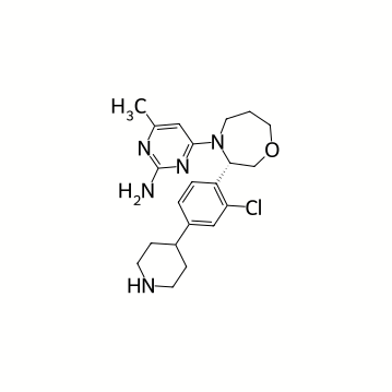 Cc1cc(N2CCCOC[C@@H]2c2ccc(C3CCNCC3)cc2Cl)nc(N)n1